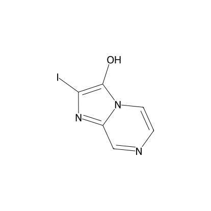 Oc1c(I)nc2cnccn12